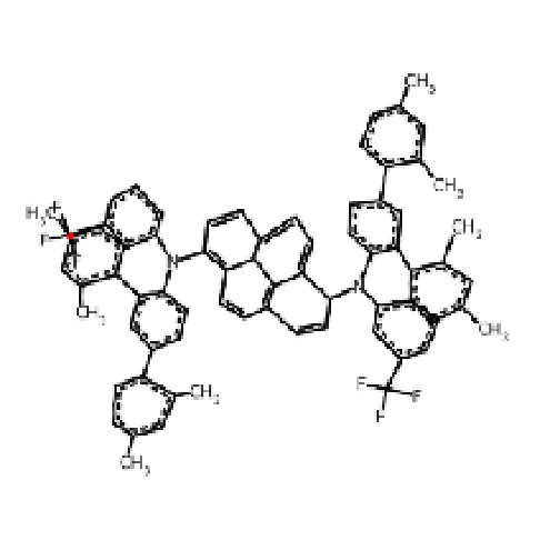 Cc1ccc(-c2ccc(N(C3=C4C=CC5=C6C(=CC=C(C=C3)C46)C(N(c3cccc(C(F)(F)F)c3)c3ccc(-c4ccc(C)cc4C)cc3-c3ccc(C)cc3C)C=C5)c3cccc(C(F)(F)F)c3)c(-c3ccc(C)cc3C)c2)c(C)c1